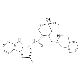 CC1(C)CN(C[C@H]2Cc3ccccc3CN2)[C@H](C(=O)Nc2cc(I)cc3c2[nH]c2cnccc23)CO1